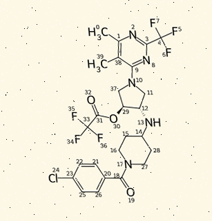 Cc1nc(C(F)(F)F)nc(N2C[C@H](NC3CCN(C(=O)c4ccc(Cl)cc4)CC3)[C@@H](OC(=O)C(F)(F)F)C2)c1C